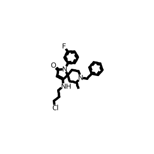 CC1CC2(CCN1Cc1ccccc1)C(NCCCCl)=CC(=O)N2c1cccc(F)c1